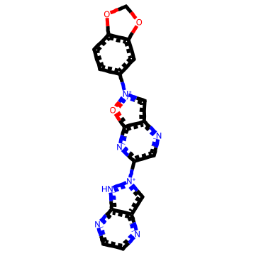 c1cnc2[nH][n+](-c3cnc4c[n+](-c5ccc6c(c5)OCO6)oc4n3)cc2n1